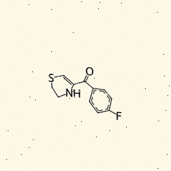 O=C(C1=CSCCN1)c1ccc(F)cc1